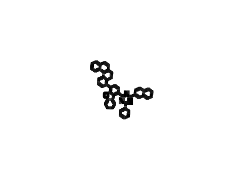 c1ccc(-c2nc(-c3ccc4ccccc4c3)nc(-c3ccc(-c4cccc5c4ccc4ccc6ccccc6c45)c4oc5ccccc5c34)n2)cc1